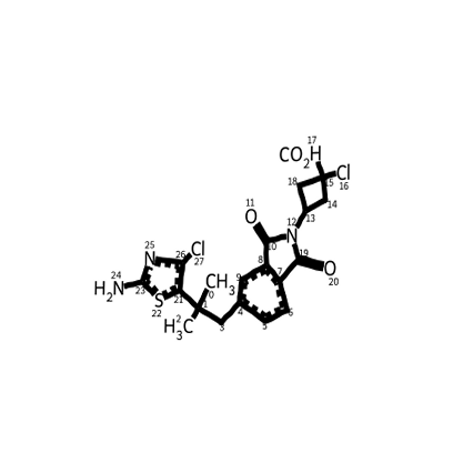 CC(C)(Cc1ccc2c(c1)C(=O)N(C1CC(Cl)(C(=O)O)C1)C2=O)c1sc(N)nc1Cl